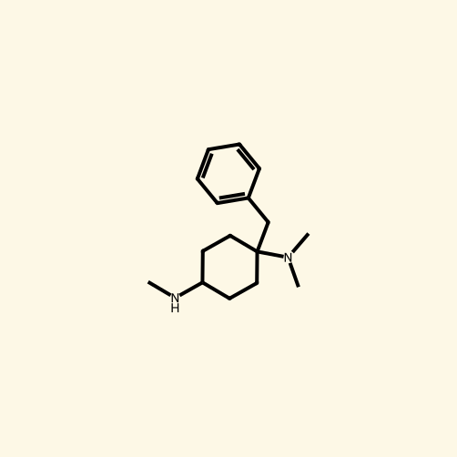 CNC1CCC(Cc2ccccc2)(N(C)C)CC1